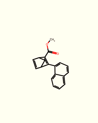 COC(=O)C1=C(c2cccc3ccccc23)C2C=CC1C2